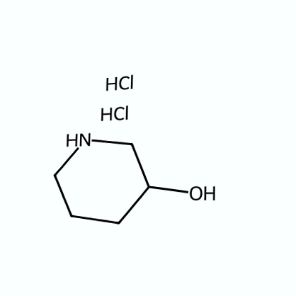 Cl.Cl.OC1CCCNC1